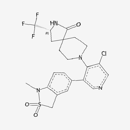 CN1c2ccc(-c3cncc(Cl)c3N3CCC4(CC3)C[C@H](C(F)(F)F)NC4=O)cc2CS1(=O)=O